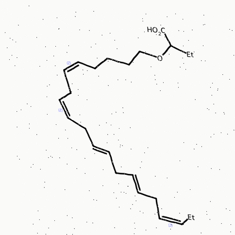 CC/C=C\CC=CCC=CC/C=C\C/C=C\CCCCOC(CC)C(=O)O